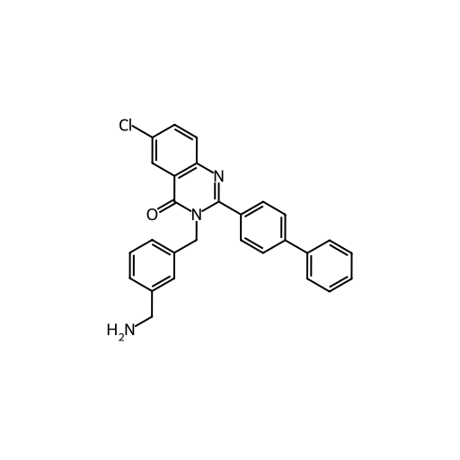 NCc1cccc(Cn2c(-c3ccc(-c4ccccc4)cc3)nc3ccc(Cl)cc3c2=O)c1